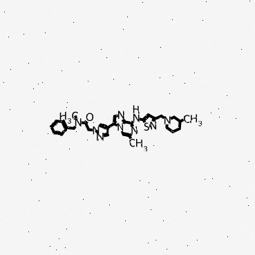 Cc1cn2c(-c3cnn(CC(=O)N(C)Cc4ccccc4)c3)cnc2c(Nc2cc(CN3CCCC(C)C3)ns2)n1